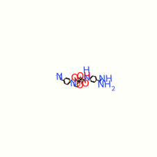 CN(C)Cc1ccc(N2CCO[C@H]([C@@H](O)C(=O)Nc3ccc(C(=N)N)cc3)C2=O)cc1